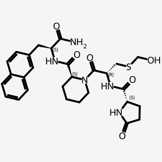 NC(=O)[C@H](Cc1ccc2ccccc2c1)NC(=O)[C@@H]1CCCCN1C(=O)[C@H](CSCO)NC(=O)[C@@H]1CCC(=O)N1